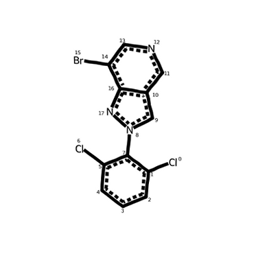 Clc1cccc(Cl)c1-n1cc2cncc(Br)c2n1